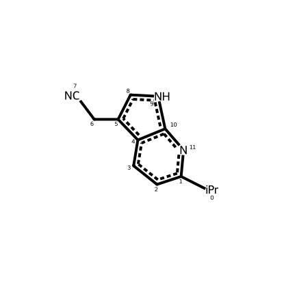 CC(C)c1ccc2c(CC#N)c[nH]c2n1